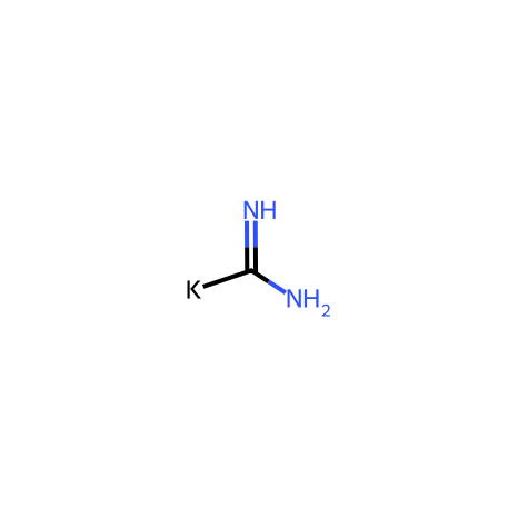 N=[C](N)[K]